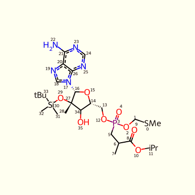 CSCOP(=O)(CC(C)C(=O)OC(C)C)OC[C@H]1O[C@@H](n2cnc3c(N)ncnc32)[C@@](C)(O[Si](C)(C)C(C)(C)C)C1O